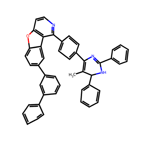 CC1=C(c2ccc(-c3nccc4oc5ccc(-c6cccc(-c7ccccc7)c6)cc5c34)cc2)N=C(c2ccccc2)NC1c1ccccc1